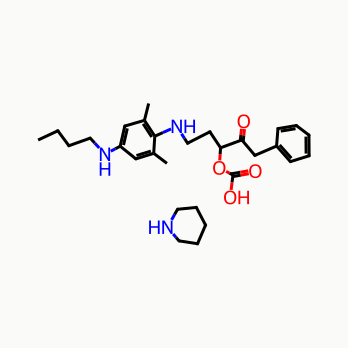 C1CCNCC1.CCCCNc1cc(C)c(NCCC(OC(=O)O)C(=O)Cc2ccccc2)c(C)c1